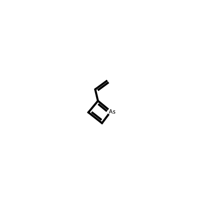 C=CC1=[As]C=C1